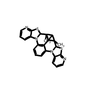 CC12C3Sc4ncccc4N3c3cccc4c3C13C2C3(C)C1Sc2ncccc2N41